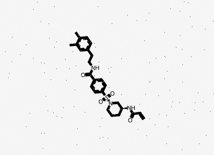 C=CC(=O)N[C@H]1CCCN(S(=O)(=O)c2ccc(C(=O)NCCc3ccc(C)c(C)c3)cc2)C1